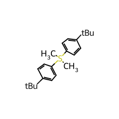 CC(C)(C)c1ccc(S(C)(C)c2ccc(C(C)(C)C)cc2)cc1